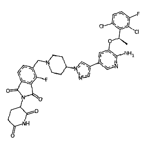 C[C@@H](Oc1cc(-c2cnn(C3CCN(Cc4ccc5c(c4F)C(=O)N(C4CCC(=O)NC4=O)C5=O)CC3)c2)cnc1N)c1c(Cl)ccc(F)c1Cl